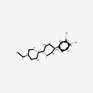 CC[C@H]1CC[C@H]([C@H]2CC[C@H](c3ccc(F)c(F)c3)CC2)CC1